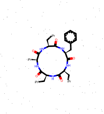 CC(C)C[C@@H]1NC(=O)[C@H](Cc2ccccc2)NC(=O)[C@H](CC(C)C)NC(=O)[C@H](C(C)C)NC(=O)[C@H](CC(C)C)NC1=O